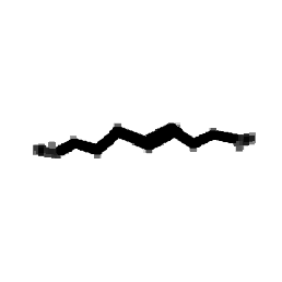 CCCCCCCCC=CCCO